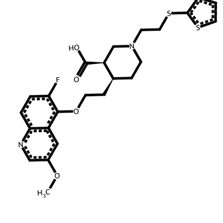 COc1cnc2ccc(F)c(OCC[C@@H]3CCN(CCSc4cccs4)C[C@@H]3C(=O)O)c2c1